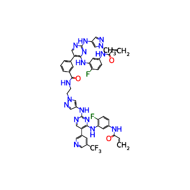 C=CC(=O)Nc1ccc(F)c(Nc2nc(Nc3cnn(C)c3)ncc2-c2cccc(C(=O)NCCn3cc(Nc4ncc(-c5cncc(C(F)(F)F)c5)c(Nc5cc(NC(=O)C=C)ccc5F)n4)cn3)c2)c1